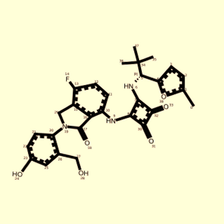 Cc1ccc([C@H](Nc2c(Nc3ccc(F)c4c3C(=O)N(c3ccc(O)cc3CO)C4)c(=O)c2=O)C(C)(C)C)o1